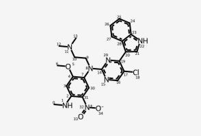 CNc1cc(OC)c(N(CCN(C)C)c2ncc(Cl)c(-c3c[nH]c4ccccc34)n2)cc1[N+](=O)[O-]